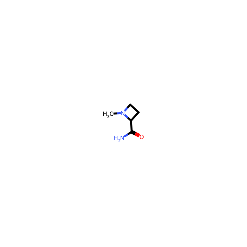 CN1CCC1C(N)=O